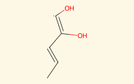 CC=C/C(O)=[C]/O